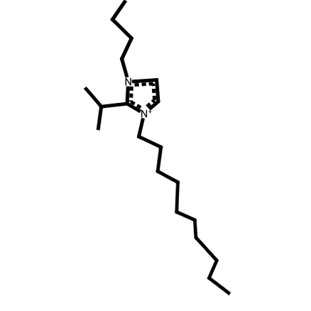 CCCCCCCCCC[n+]1ccn(CCCC)c1C(C)C